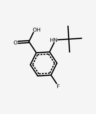 CC(C)(C)Nc1cc(F)ccc1C(=O)O